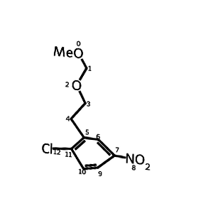 COCOCCc1cc([N+](=O)[O-])ccc1Cl